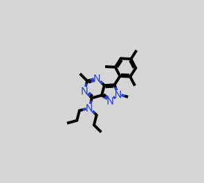 CCCN(CCC)c1nc(C)nc2c(-c3c(C)cc(C)cc3C)n(C)nc12